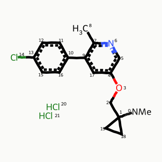 CNC1(COc2cnc(C)c(-c3ccc(Cl)cc3)c2)CC1.Cl.Cl